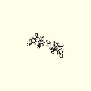 O=C(c1ccc(Cl)nc1)N1CCN(CCCCCN2CCN(C(=O)c3ccc(Cl)nc3)C2=N[N+](=O)[O-])C1=N[N+](=O)[O-]